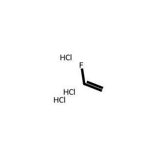 C=CF.Cl.Cl.Cl